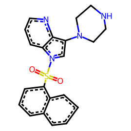 O=S(=O)(c1cccc2ccccc12)n1cc(N2CCNCC2)c2ncccc21